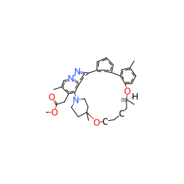 COC(=O)Cc1c(C)cn2nc3cc2c1N1CCC(C)(CC1)OCCCC[C@H](C)Oc1ccc(C)cc1-c1cccc-3c1